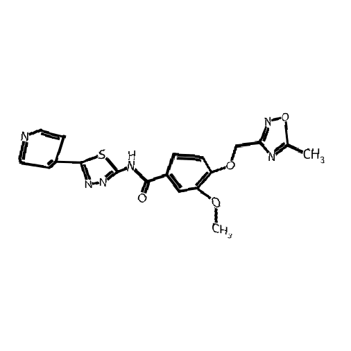 COc1cc(C(=O)Nc2nnc(-c3ccncc3)s2)ccc1OCc1noc(C)n1